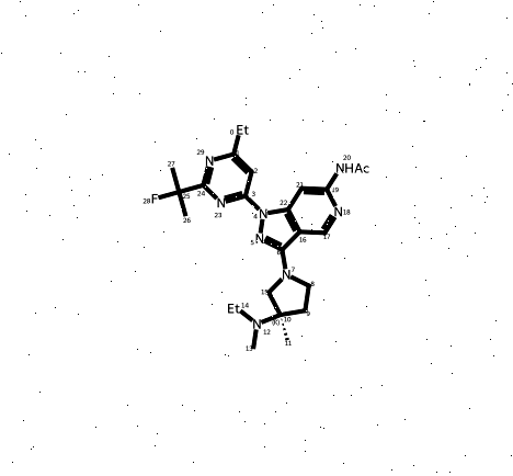 CCc1cc(-n2nc(N3CC[C@@](C)(N(C)CC)C3)c3cnc(NC(C)=O)cc32)nc(C(C)(C)F)n1